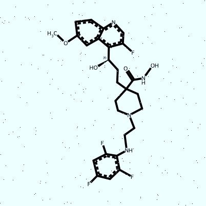 COc1ccc2ncc(F)c([C@H](O)CCC3(C(=O)NO)CCN(CCNc4c(F)cc(F)cc4F)CC3)c2c1